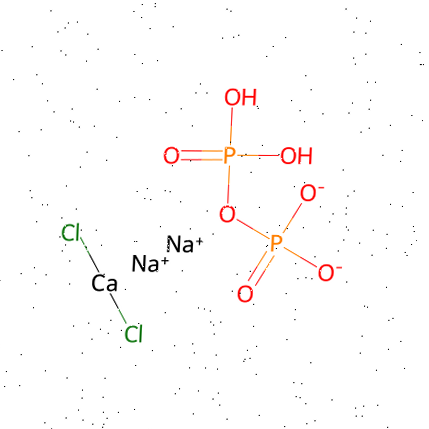 O=P([O-])([O-])OP(=O)(O)O.[Cl][Ca][Cl].[Na+].[Na+]